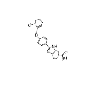 O=C(O)c1ccc2nc(-c3ccc(Oc4ccccc4Cl)cc3)[nH]c2c1